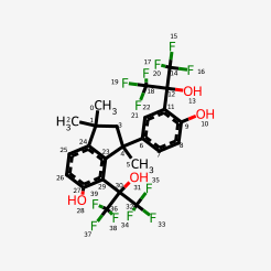 CC1(C)CC(C)(c2ccc(O)c(C(O)(C(F)(F)F)C(F)(F)F)c2)c2c1ccc(O)c2C(O)(C(F)(F)F)C(F)(F)F